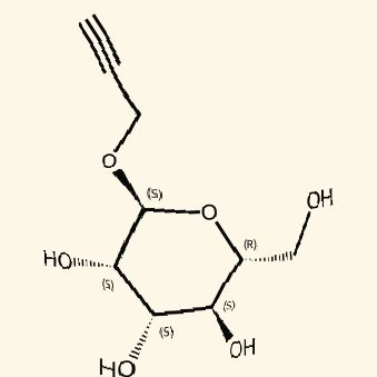 C#CCO[C@H]1O[C@H](CO)[C@@H](O)[C@H](O)[C@@H]1O